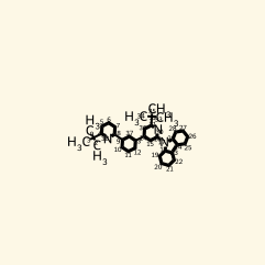 CC(C)(C)c1cccc(-c2cccc(-c3cc(-n4c5ccccc5c5ccccc54)nc(C(C)(C)C)c3)c2)n1